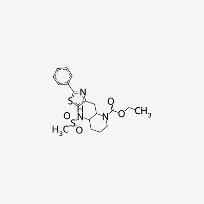 CCOC(=O)N1CCCC(NS(C)(=O)=O)C1Cc1csc(-c2ccccc2)n1